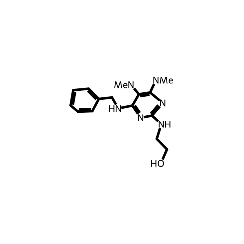 CNc1nc(NCCO)nc(NCc2ccccc2)c1NC